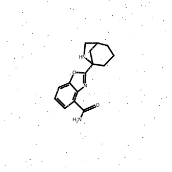 NC(=O)c1cccc2oc(C34CCCC(CN3)C4)nc12